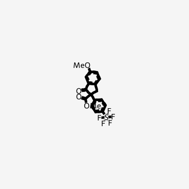 COC(=O)C1(c2ccc(S(F)(F)(F)(F)F)cc2)Cc2ccc(OC)cc2C1=O